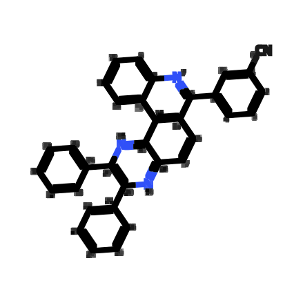 N#Cc1cccc(-c2nc3ccccc3c3c2ccc2nc(-c4ccccc4)c(-c4ccccc4)nc23)c1